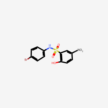 O=[N+]([O-])c1ccc(O)c(S(=O)(=O)Nc2ccc(Br)cc2)c1